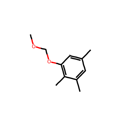 COCOc1[c]c(C)cc(C)c1C